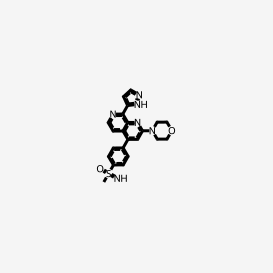 CS(=N)(=O)c1ccc(-c2cc(N3CCOCC3)nc3c(-c4ccn[nH]4)nccc23)cc1